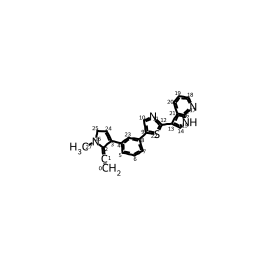 C=C=C1C(c2cccc(-c3cnc(-c4c[nH]c5ncccc45)s3)c2)=CCN1C